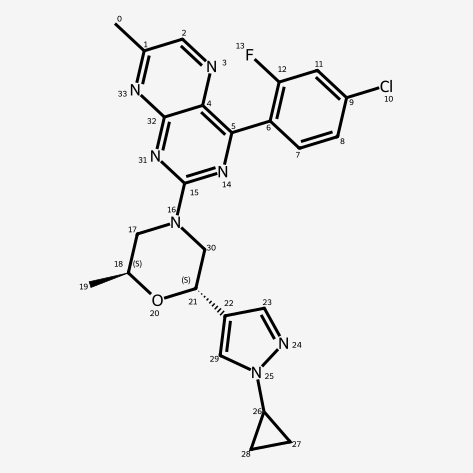 Cc1cnc2c(-c3ccc(Cl)cc3F)nc(N3C[C@H](C)O[C@@H](c4cnn(C5CC5)c4)C3)nc2n1